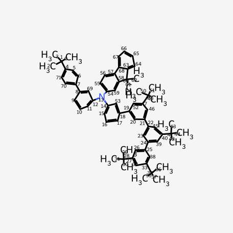 CC(C)(C)c1ccc(-c2cccc(N(c3cccc(-c4cc(-c5cc(-c6cc(C(C)(C)C)cc(C(C)(C)C)c6)cc(C(C)(C)C)c5)cc(C(C)(C)C)c4)c3)c3ccc4c(c3)C(C)(C)c3ccccc3-4)c2)cc1